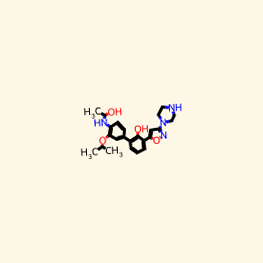 CC(O)Nc1ccc(-c2cccc(-c3cc(N4CCNCC4)no3)c2O)cc1OC(C)C